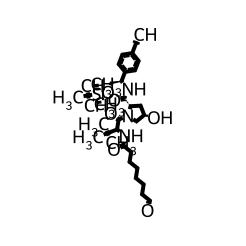 C#Cc1ccc([C@H](CO[Si](C)(C)C(C)(C)C)NC(=O)[C@@H]2C[C@@H](O)CN2C(=O)C(NC(=O)CCCCCCC=O)C(C)(C)C)cc1